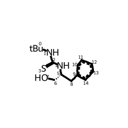 CC(C)(C)NC(=S)N[C@@H](CO)Cc1ccccc1